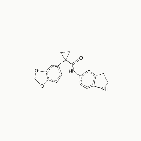 O=C(Nc1ccc2c(c1)CCN2)C1(c2ccc3c(c2)OCO3)CC1